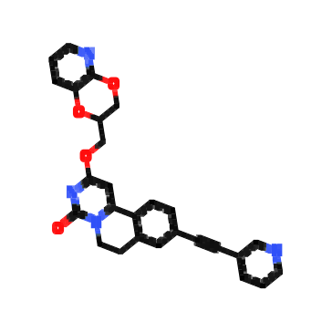 O=c1nc(OCC2COc3ncccc3O2)cc2n1CCc1cc(C#Cc3cccnc3)ccc1-2